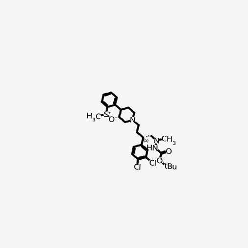 CN(C[C@@H](CCN1CCC(c2ccccc2[S+](C)[O-])CC1)c1ccc(Cl)c(Cl)c1)NC(=O)OC(C)(C)C